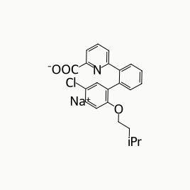 CC(C)CCOc1ccc(Cl)cc1-c1ccccc1-c1cccc(C(=O)[O-])n1.[Na+]